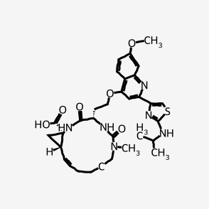 COc1ccc2c(OCC[C@@H]3NC(=O)N(C)CCCCC=C[C@@H]4C[C@@]4(C(=O)O)NC3=O)cc(-c3csc(NC(C)C)n3)nc2c1